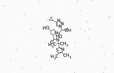 Cc1nc(C(C)(C)NC(=O)C2CC(O)CN2C(=O)[C@@H](n2cc(C3CC3)nn2)C(C)(C)C)sc1C